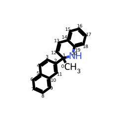 CC1(c2ccc3ccccc3c2)C=Cc2ccccc2N1